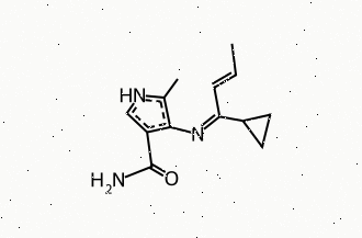 CC=C/C(=N\c1c(C(N)=O)c[nH]c1C)C1CC1